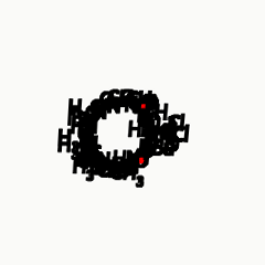 CCCCOc1cc(CC[C@@H]2NC(=O)CN(C)C(=O)[C@H](CC3CCCCC3)N(C)C(=O)CN(C)C(=O)CN(C)C(=O)[C@H]([C@@H](C)CC)NC(=O)[C@H](C)N(C)C(=O)C[C@@H](C(=O)N3CCCCC3)N(C)C(=O)[C@H](C(C)C)N(C)C(=O)C3(CCCC3)NC(=O)[C@@H]3CCCN3C2=O)cc(Cl)c1Cl